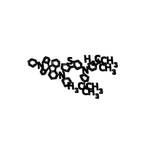 CC(C)(C)c1ccc(N(c2ccc(C(C)(C)C)cc2)c2ccc3sc4ccc(N(c5ccccc5)c5cccc6c5-c5ccccc5C65c6ccccc6N(c6ccccc6)c6ccccc65)cc4c3c2)cc1